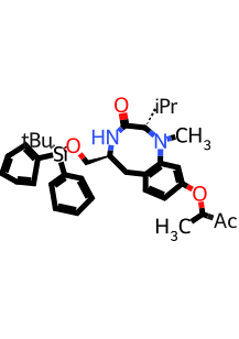 CC(=O)C(C)Oc1ccc2c(c1)N(C)[C@@H](C(C)C)C(=O)N[C@H](CO[Si](c1ccccc1)(c1ccccc1)C(C)(C)C)C2